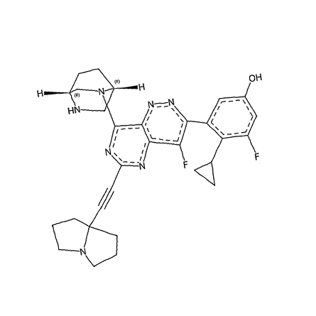 Oc1cc(F)c(C2CC2)c(-c2nnc3c(N4C[C@H]5CC[C@@H]4CN5)nc(C#CC45CCCN4CCC5)nc3c2F)c1